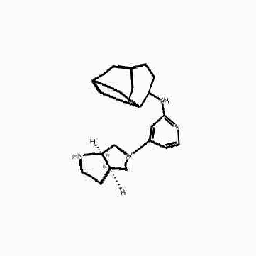 c1cc(N2C[C@H]3CCN[C@H]3C2)cc(NC2CCC3CC4CC(C3)C2C4)n1